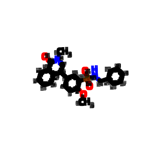 COc1ccc(-c2cn(C)c(=O)c3ccccc23)cc1S(=O)(=O)NCc1ccccc1